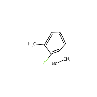 CC#N.Cc1ccccc1F